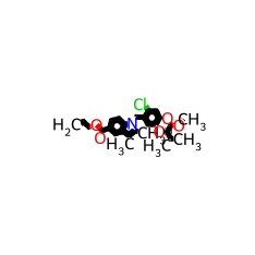 C=CCOC(=O)c1ccc2c(c1)c(C)c(C)n2Cc1cc(O[C@@H](C(=O)OC)C(C)C)ccc1Cl